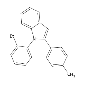 CCc1ccccc1-n1c(-c2ccc(C)cc2)cc2ccccc21